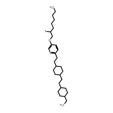 CCCCCCC(F)COc1ccc(CCC2CCC(CCC3CCC(CC)CC3)CC2)nc1